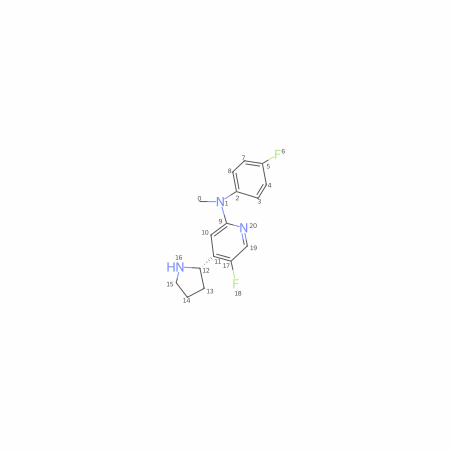 CN(c1ccc(F)cc1)c1cc([C@@H]2CCCN2)c(F)cn1